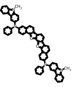 Cn1c2ccccc2c2cc(N(c3ccccc3)c3ccc4c(ccc5c6ccc7c8ccc9cc(N(c%10ccccc%10)c%10ccc%11c(c%10)c%10ccccc%10n%11C)ccc9c8oc7c6oc45)c3)ccc21